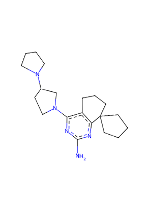 Nc1nc(N2CCC(N3CCCC3)C2)c2c(n1)C1(CCCC1)CCC2